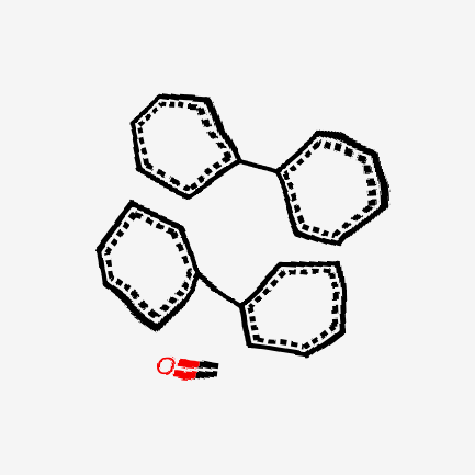 C=O.c1ccc(-c2ccccc2)cc1.c1ccc(-c2ccccc2)cc1